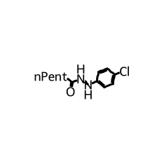 CCCCCC(=O)NNc1ccc(Cl)cc1